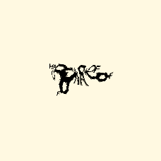 O=C(Cc1ccc(F)cc1F)N1CCC[C@@H](Nc2nc3cc[nH]c(=O)c3c3cc(F)ccc23)C1